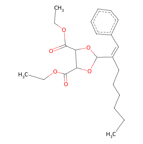 CCCCCCC(=Cc1ccccc1)C1OC(C(=O)OCC)C(C(=O)OCC)O1